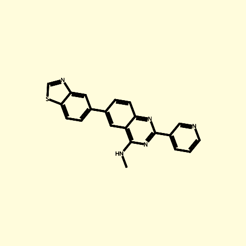 CNc1nc(-c2cccnc2)nc2ccc(-c3ccc4scnc4c3)cc12